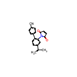 C=C(C)c1ccc(-c2ccc(C#N)cc2)c(N2C(=O)C=CC2=O)c1